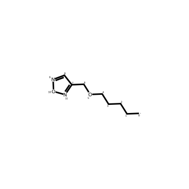 [CH2]CCCCOCc1cnon1